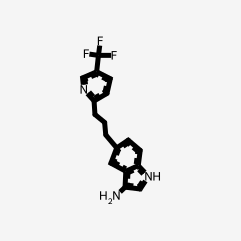 Nc1c[nH]c2ccc(CCCc3ccc(C(F)(F)F)cn3)cc12